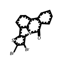 O=c1c2ccccc2c2cccc3c4sc(Br)c(Br)c4n1c23